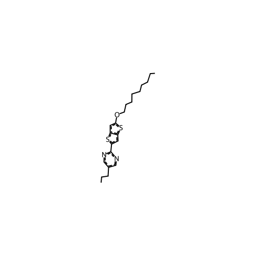 CCCCCCCCCOc1cc2sc(-c3ncc(CCC)cn3)cc2s1